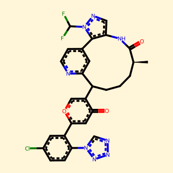 C[C@H]1CCCC(c2coc(-c3cc(Cl)ccc3-n3cnnn3)cc2=O)c2cc(ccn2)-c2c(cnn2C(F)F)NC1=O